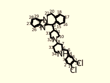 Clc1ccc(CC2CC(N3CCC(C4c5ccccc5CCn5c4nc4ccccc45)CC3)CCN2)cc1Cl